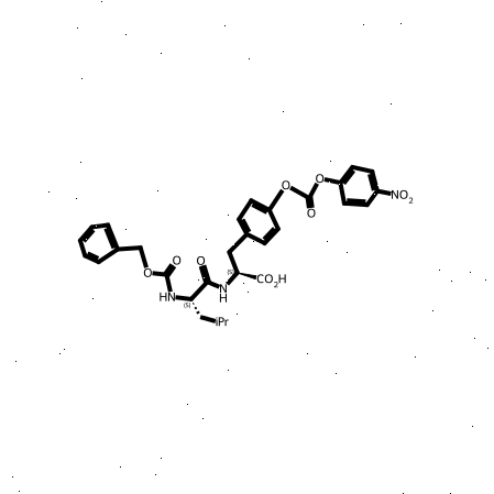 CC(C)C[C@H](NC(=O)OCc1ccccc1)C(=O)N[C@@H](Cc1ccc(OC(=O)Oc2ccc([N+](=O)[O-])cc2)cc1)C(=O)O